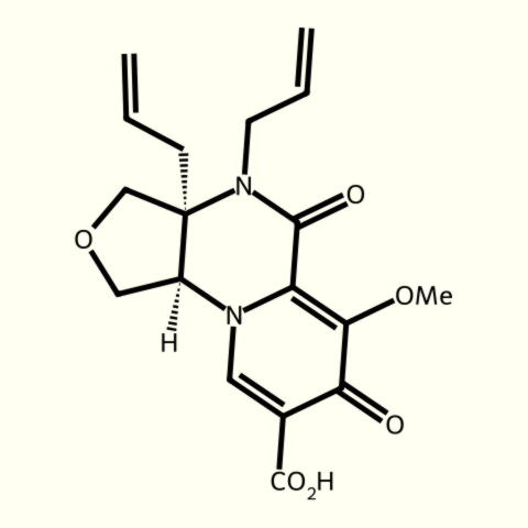 C=CCN1C(=O)c2c(OC)c(=O)c(C(=O)O)cn2[C@H]2COC[C@]21CC=C